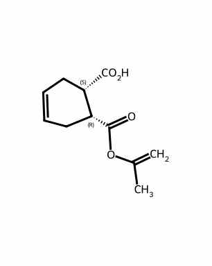 C=C(C)OC(=O)[C@@H]1CC=CC[C@@H]1C(=O)O